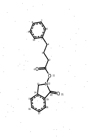 O=C(CCCc1ccccc1)ON1Cc2ccccc2C1=O